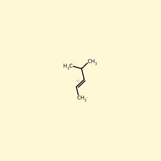 [CH2]/C=C/[C](C)C